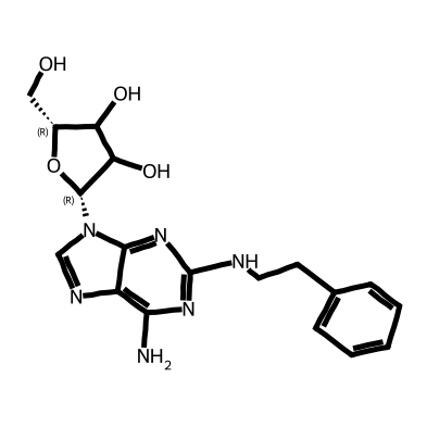 Nc1nc(NCCc2ccccc2)nc2c1ncn2[C@@H]1O[C@H](CO)C(O)C1O